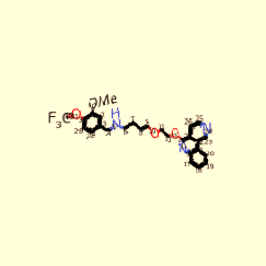 COc1cc(CNCCCCOCCOc2nc3ccccc3c3cnccc23)ccc1OC(F)(F)F